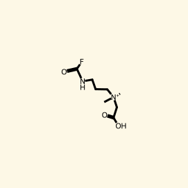 C[N+](C)(CCCNC(=O)F)CC(=O)O